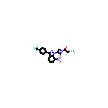 C=CC(=O)N1CC(n2nc(-c3ccc(C(F)(F)F)cc3)c3cccc([N+](=O)[O-])c32)C1